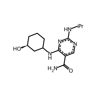 CC(C)Nc1ncc(C(N)=O)c(NC2CCC[C@H](O)C2)n1